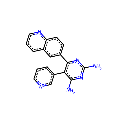 Nc1nc(N)c(-c2cccnc2)c(-c2ccc3ncccc3c2)n1